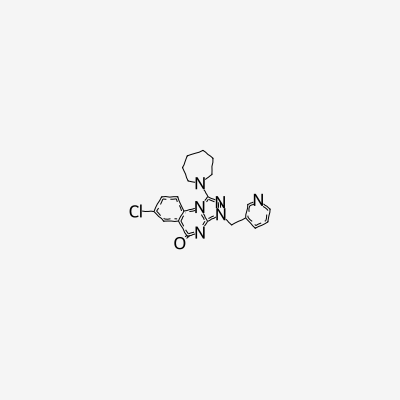 O=c1nc2n(Cc3cccnc3)nc(N3CCCCCC3)n2c2ccc(Cl)cc12